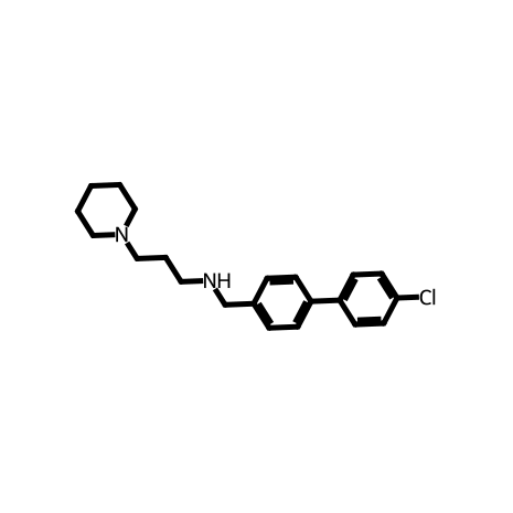 Clc1ccc(-c2ccc(CNCCCN3CCCCC3)cc2)cc1